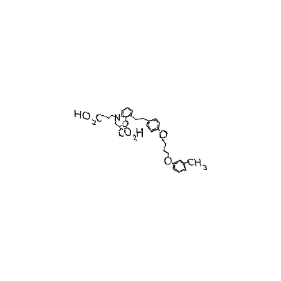 Cc1cccc(OCCCCOc2ccc(CCc3cccc4c3OC(C(=O)O)CN4CCCC(=O)O)cc2)c1